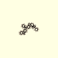 c1ccc(-c2nc3ccc4oc5cc(N(c6ccccc6)c6ccc7sc8ccccc8c7c6)ccc5c4c3o2)cc1